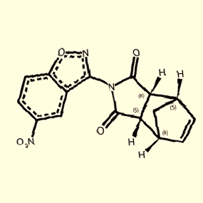 O=C1[C@@H]2[C@H](C(=O)N1c1noc3ccc([N+](=O)[O-])cc13)[C@@H]1C=C[C@H]2C1